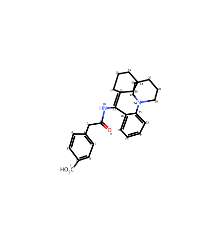 O=C(Cc1ccc(C(=O)O)cc1)NC(=C1CCCCC1)c1ccccc1N1CCCCC1